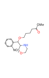 COC(=O)CCCCOC(c1ccccc1[N+](=O)[O-])C1COCCN1